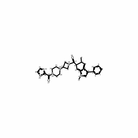 CC1C=c2c(-c3ccccc3)cn(C)c2=CC1C(=O)N1CC(N2CCN(C(=O)c3nccs3)CC2)C1